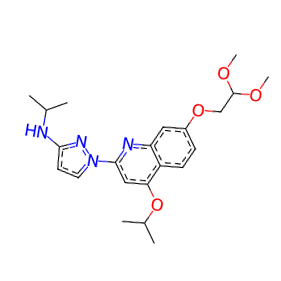 COC(COc1ccc2c(OC(C)C)cc(-n3ccc(NC(C)C)n3)nc2c1)OC